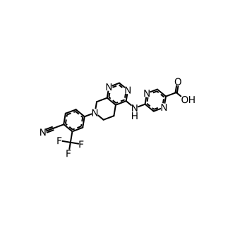 N#Cc1ccc(N2CCc3c(ncnc3Nc3cnc(C(=O)O)cn3)C2)cc1C(F)(F)F